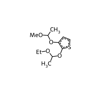 CCOC(C)Oc1sccc1OC(C)OC